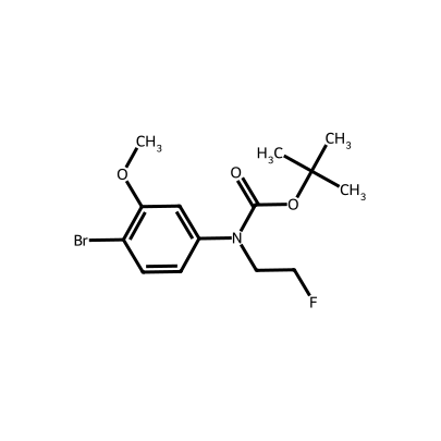 COc1cc(N(CCF)C(=O)OC(C)(C)C)ccc1Br